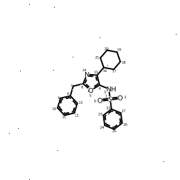 O=S(=O)(Nc1oc(Cc2ccccc2)nc1C1CCCCC1)c1ccccc1